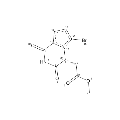 COC(=O)C[C@@H]1C(=O)NC(=O)c2ccc(Br)n21